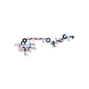 CN[C@@H](C)C(=O)N[C@H](C(=O)N1Cc2cc(OCCOCCOCCNC[C@H]3CC[C@H](n4cc(NC(=O)c5coc(-c6ccnc(NCC7CC7)c6)n5)c(C(F)F)n4)CC3)ccc2C[C@H]1C(N)=O)C(C)(C)C